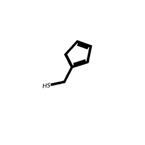 SCC1=CC=CC1